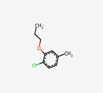 [CH2]CCOc1cc(C)ccc1Cl